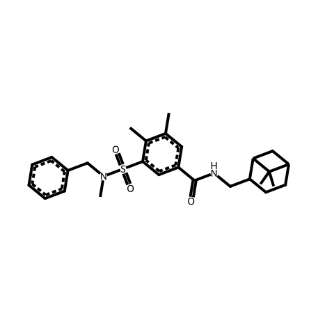 Cc1cc(C(=O)NCC2CCC3CC2C3(C)C)cc(S(=O)(=O)N(C)Cc2ccccc2)c1C